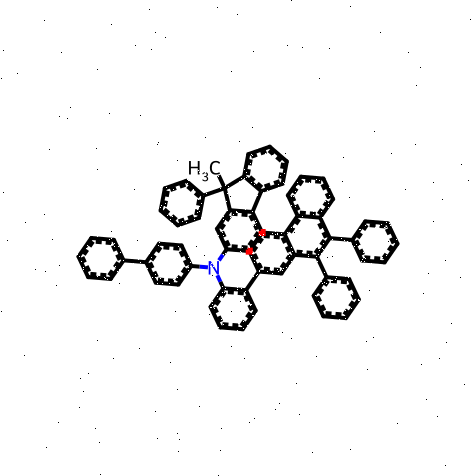 CC1(c2ccccc2)c2ccccc2-c2ccc(N(c3ccc(-c4ccccc4)cc3)c3ccccc3-c3ccc4c(c3)c(-c3ccccc3)c(-c3ccccc3)c3ccccc34)cc21